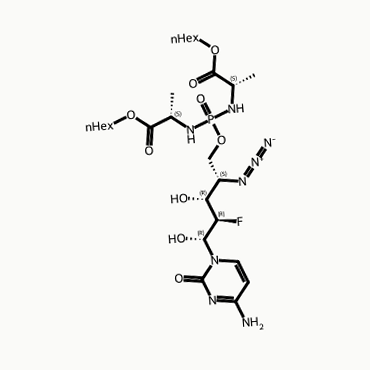 CCCCCCOC(=O)[C@H](C)NP(=O)(N[C@@H](C)C(=O)OCCCCCC)OC[C@H](N=[N+]=[N-])[C@@H](O)[C@@H](F)[C@@H](O)n1ccc(N)nc1=O